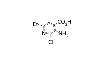 CCc1cc(C(=O)O)c(N)c(Cl)n1